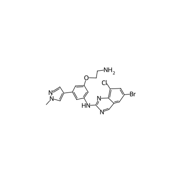 Cn1cc(-c2cc(Nc3ncc4cc(Br)cc(Cl)c4n3)cc(OCCN)c2)cn1